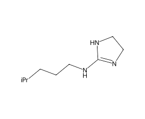 CC(C)CCCNC1=NCCN1